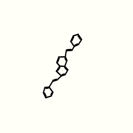 C(=Cc1ccc2cc(C=Cc3ccccc3)ccc2c1)c1ccccc1